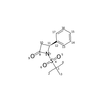 CC(C)(C)S(=O)(=O)N1C(=O)C[C@H]1c1ccccc1